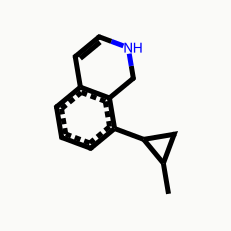 CC1CC1c1cccc2c1CNC=C2